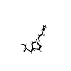 CCC(C)CC1CCN(CCC#N)C1